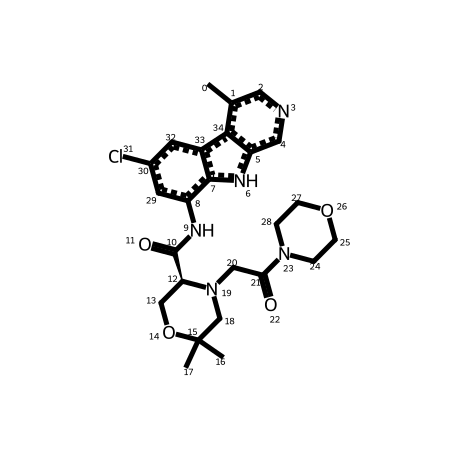 Cc1cncc2[nH]c3c(NC(=O)[C@@H]4COC(C)(C)CN4CC(=O)N4CCOCC4)cc(Cl)cc3c12